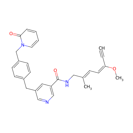 C#C/C(=C\C=C(/C)CNC(=O)c1cncc(Cc2ccc(Cn3ccccc3=O)cc2)c1)OC